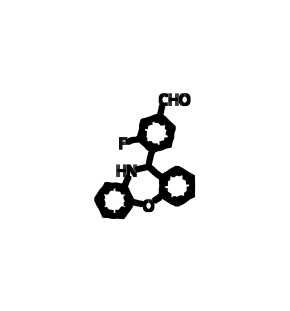 O=Cc1ccc(C2Nc3ccccc3Oc3ccccc32)c(F)c1